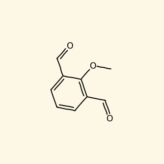 COc1c(C=O)cccc1C=O